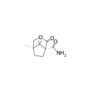 CC1(C)[C@@]2(C)CC[C@]1(C(N)=O)C(=O)OC2